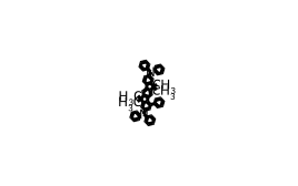 CC1(C)c2cc(N(c3ccccc3)c3ccccc3)ccc2-c2cc3c(cc21)-c1c(-c2ccccc2)cc(N(c2ccccc2)c2ccccc2)cc1C3(C)C